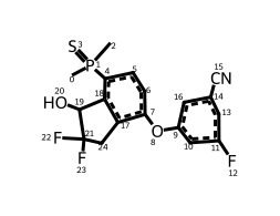 CP(C)(=S)c1ccc(Oc2cc(F)cc(C#N)c2)c2c1C(O)C(F)(F)C2